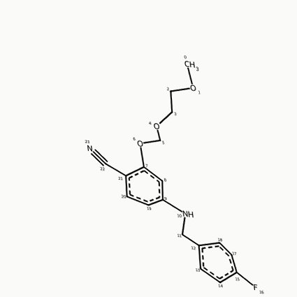 COCCOCOc1cc(NCc2ccc(F)cc2)ccc1C#N